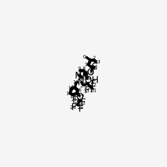 Cc1cccc(Oc2ccnc(N(Cc3cccc(OC(F)(F)C(F)F)c3)C[C@@H](O)C(F)(F)F)n2)c1